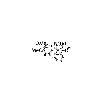 CCOC(OCC)c1ncccc1C(C[N+](=O)[O-])c1ccc(OC)c(OC)c1